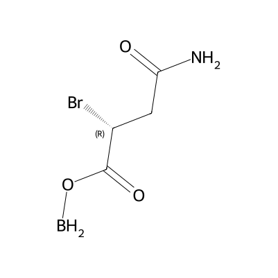 BOC(=O)[C@H](Br)CC(N)=O